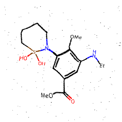 CCNc1cc(C(=O)OC)cc(N2CCCCS2(O)O)c1OC